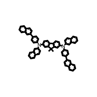 CC1(C)c2cc(N(c3ccc(-c4ccc5ccccc5c4)cc3)c3ccc4ccccc4c3)ccc2-c2ccc(N(c3ccc(-c4ccc5ccccc5c4)cc3)c3ccc4ccccc4c3)cc21